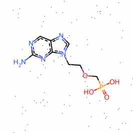 Nc1ncc2ncn(CCOCP(=O)(O)O)c2n1